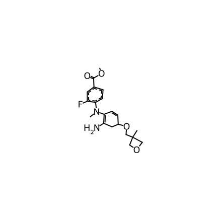 COC(=O)c1ccc(N(C)C2=C(N)CC(OCC3(C)COC3)C=C2)c(F)c1